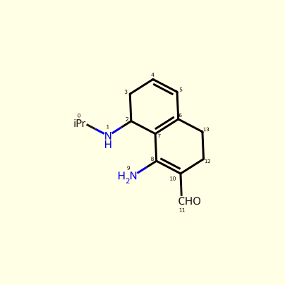 CC(C)NC1CC=CC2=C1C(N)=C(C=O)CC2